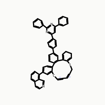 C1=C2SC/C=C\C=C/Cc3cc(-c4cccc5ccncc45)ccc3-c3ccc(-c4ccc(-c5cc(-c6ccccc6)nc(-c6ccccc6)n5)cc4)cc3C2=CCC1